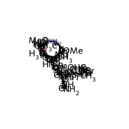 COc1cc2cc(c1Cl)N(C)C(=O)C[C@H](OC(=O)Nc1ccc(NC(=O)[C@H](CCCNC(N)=O)NC(=O)[C@@H](NC(C=O)CCCC(C)OC(C=O)(CBr)CBr)C(C)C)c(Br)c1)[C@]1(C)O[C@H]1[C@H](C)[C@@H]1C[C@@](O)(NC(=O)O1)[C@H](OC)/C=C/C=C(\C)C2